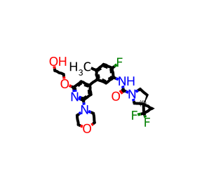 Cc1cc(F)c(NC(=O)N2CC[C@@]3(C2)CC3(F)F)cc1-c1cc(OCCO)nc(N2CCOCC2)c1